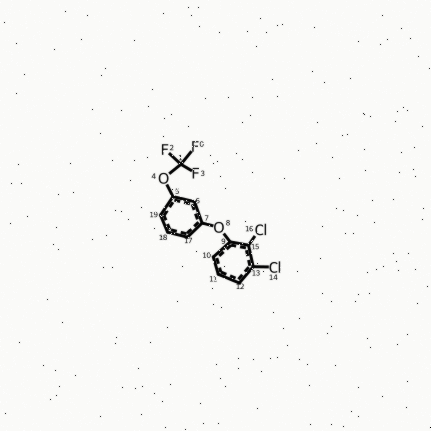 FC(F)(F)Oc1[c]c(Oc2cccc(Cl)c2Cl)ccc1